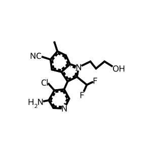 Cc1cc2c(cc1C#N)c(-c1cncc(N)c1Cl)c(C(F)F)n2CCCO